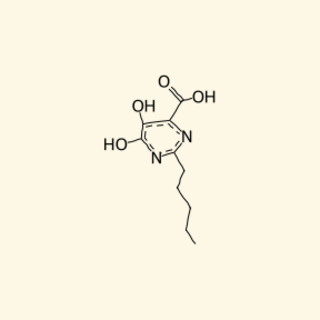 CCCCCc1nc(O)c(O)c(C(=O)O)n1